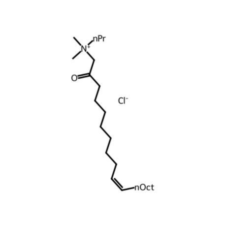 CCCCCCCC/C=C\CCCCCCCC(=O)C[N+](C)(C)CCC.[Cl-]